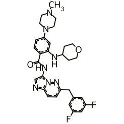 CN1CCN(c2ccc(C(=O)Nc3cnc4ccc(Cc5cc(F)cc(F)c5)nn34)c(NC3CCOCC3)c2)CC1